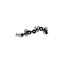 CC(C)(O)CCS(=O)(=O)N1CC=C(c2ccc3nc(OC4CCN(C(=O)OC5(C)CC5)CC4)sc3c2)CC1